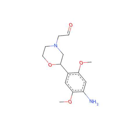 COc1cc(C2CN(CC=O)CCO2)c(OC)cc1N